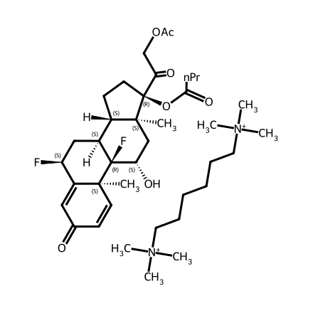 CCCC(=O)O[C@]1(C(=O)COC(C)=O)CC[C@H]2[C@@H]3C[C@H](F)C4=CC(=O)C=C[C@]4(C)[C@@]3(F)[C@@H](O)C[C@@]21C.C[N+](C)(C)CCCCCC[N+](C)(C)C